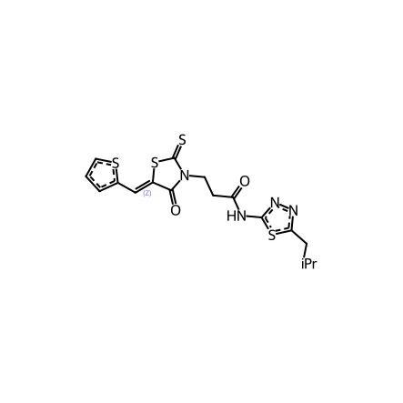 CC(C)Cc1nnc(NC(=O)CCN2C(=O)/C(=C/c3cccs3)SC2=S)s1